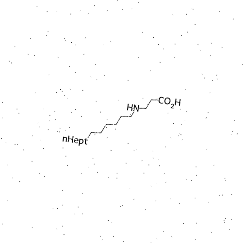 CCCCCCCCCCCCCNCCC(=O)O